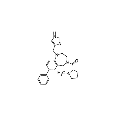 CN1CCC[C@H]1C(=O)N1CCN(Cc2c[nH]cn2)c2ccc(-c3ccccc3)cc2C1